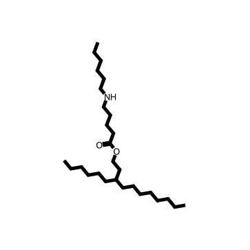 CCCCCCCCC(CCCCCC)CCOC(=O)CCCCNCCCCCC